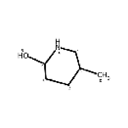 CC1CCC(O)NC1